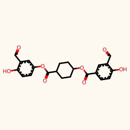 O=Cc1cc(OC(=O)C2CCC(OC(=O)c3ccc(O)c(C=O)c3)CC2)ccc1O